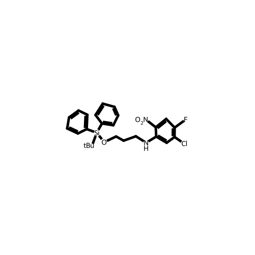 CC(C)(C)[Si](OCCCNc1cc(Cl)c(F)cc1[N+](=O)[O-])(c1ccccc1)c1ccccc1